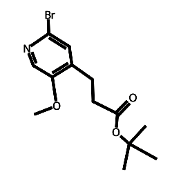 COc1cnc(Br)cc1CCC(=O)OC(C)(C)C